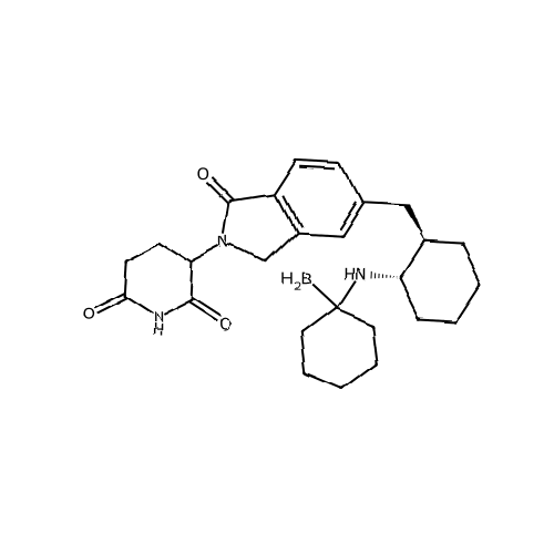 BC1(N[C@H]2CCCC[C@@H]2Cc2ccc3c(c2)CN(C2CCC(=O)NC2=O)C3=O)CCCCC1